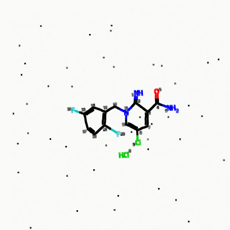 Cl.N=c1c(C(N)=O)cc(Cl)cn1Cc1cc(F)ccc1F